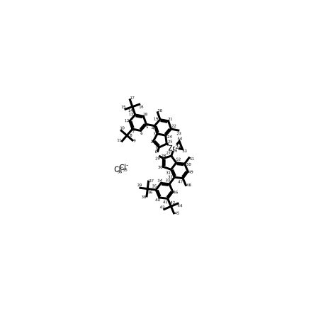 CC1=Cc2c(-c3cc(C(C)(C)C)cc(C(C)(C)C)c3)c(C)cc(C)c2[CH]1[Zr+2]1([CH]2C(C)=Cc3c(-c4cc(C(C)(C)C)cc(C(C)(C)C)c4)c(C)cc(C)c32)[CH2][CH2]1.[Cl-].[Cl-]